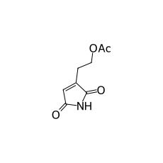 CC(=O)OCCC1=CC(=O)NC1=O